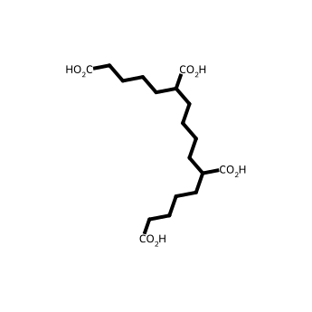 O=C(O)CCCCC(CCCCC(CCCCC(=O)O)C(=O)O)C(=O)O